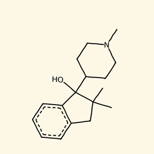 CN1CCC(C2(O)c3ccccc3CC2(C)C)CC1